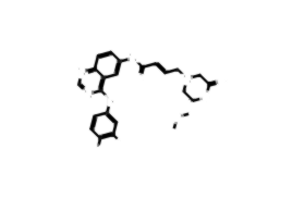 COC[C@@H]1CN(CC=CC(=O)Nc2ccc3ncnc(Nc4ccc(F)c(Cl)c4)c3c2)CC(=O)O1